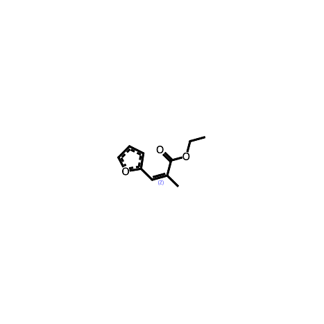 CCOC(=O)/C(C)=C\c1ccco1